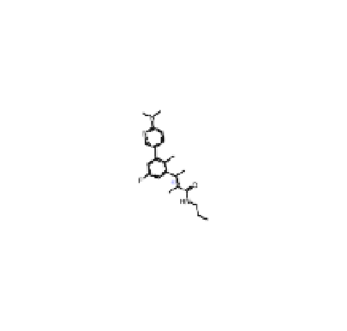 CCCNC(=O)/C(C)=C(\C)c1cc(F)cc(-c2ccc(N(C)C)nc2)c1C